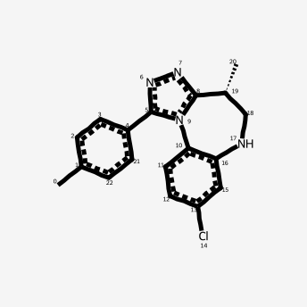 Cc1ccc(-c2nnc3n2-c2ccc(Cl)cc2NC[C@H]3C)cc1